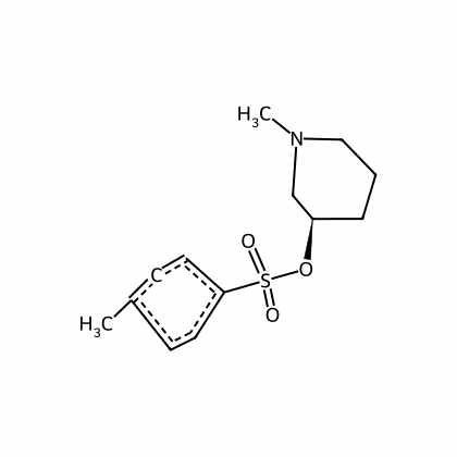 Cc1ccc(S(=O)(=O)O[C@@H]2CCCN(C)C2)cc1